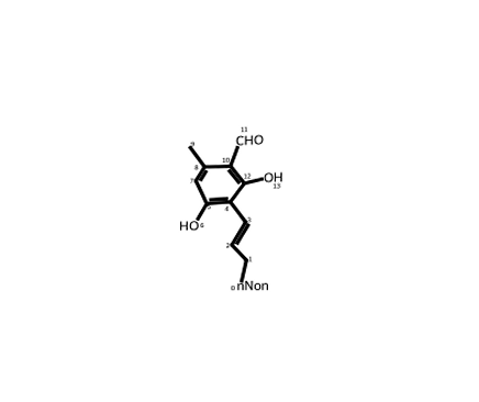 CCCCCCCCCCC=Cc1c(O)cc(C)c(C=O)c1O